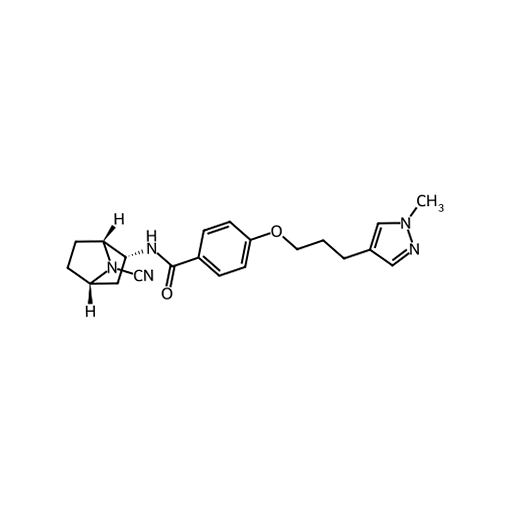 Cn1cc(CCCOc2ccc(C(=O)N[C@@H]3C[C@@H]4CC[C@H]3N4C#N)cc2)cn1